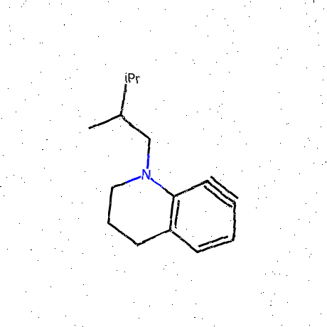 CC(C)C(C)CN1CCCc2ccc#cc21